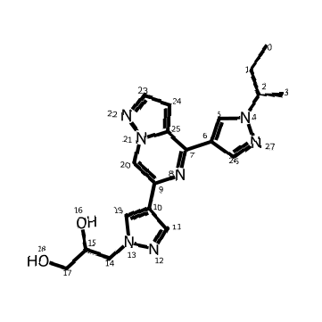 CC[C@@H](C)n1cc(-c2nc(-c3cnn(CC(O)CO)c3)cn3nccc23)cn1